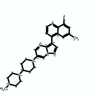 Cc1cc(F)c2nccc(-c3cnn4cc(N5CCC(N6CCN(C)CC6)CC5)cnc34)c2c1